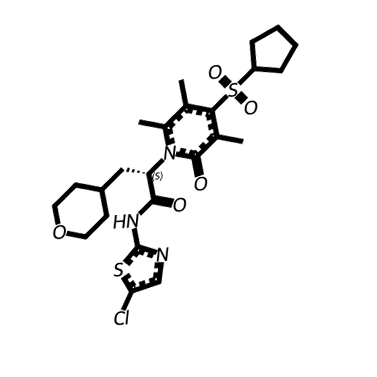 Cc1c(S(=O)(=O)C2CCCC2)c(C)c(=O)n([C@@H](CC2CCOCC2)C(=O)Nc2ncc(Cl)s2)c1C